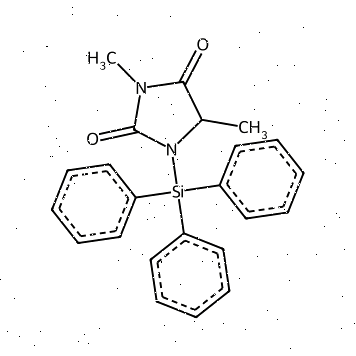 CC1C(=O)N(C)C(=O)N1[Si](c1ccccc1)(c1ccccc1)c1ccccc1